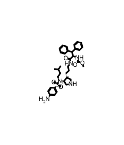 COC(=O)NC(C(=O)NCCC[C@@H]1CNC[C@H]1N(CCC(C)C)S(=O)(=O)c1ccc(N)cc1)C(c1ccccc1)c1ccccc1